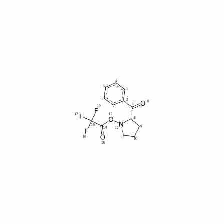 O=C(c1ccccc1)[C@@H]1CCCN1OC(=O)C(F)(F)F